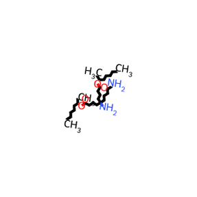 CCCCCCC(CC)OC(=O)CCCC(N)(CCCCCN)CCCC(=O)OC(CC)CCCCCC